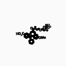 COc1ccc2c(c1)C=C(C(=O)N(C)CCOCCN(C)S(N)(=O)=O)Cn1c-2c(C2CCCCC2)c2ccc(C(=O)O)cc21